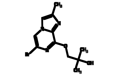 Cc1cn2cc(Br)nc(OCC(C)(C)O)c2n1